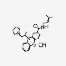 CC(C)=CCNC(=O)c1ccc2c(c1)N([C@H](C)CN1CCCC1)c1ccccc1S2.Cl